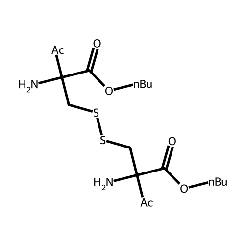 CCCCOC(=O)C(N)(CSSCC(N)(C(C)=O)C(=O)OCCCC)C(C)=O